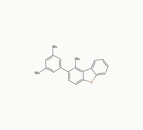 CC(C)(C)c1cc(-c2ccc3sc4ccccc4c3c2C(C)(C)C)cc(C(C)(C)C)c1